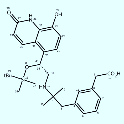 CC(C)(Cc1cccc(CC(=O)O)c1)NC[C@H](O[Si](C)(C)C(C)(C)C)c1ccc(O)c2[nH]c(=O)ccc12